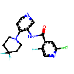 O=C(Nc1cnccc1N1CCC(F)(F)CC1)c1cc(Cl)ncc1F